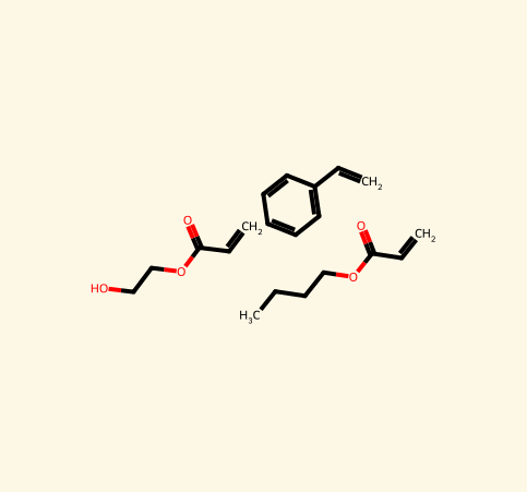 C=CC(=O)OCCCC.C=CC(=O)OCCO.C=Cc1ccccc1